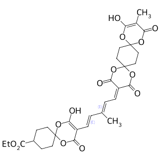 CCOC(=O)C1CCC2(CC1)OC(=O)C(/C=C/C(C)=C/C=C1C(=O)OC3(CCC4(CC3)OC(=O)C(C)=C(O)O4)OC1=O)=C(O)O2